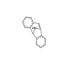 C1=C2NC(c3ccccc31)c1ccccc12